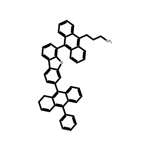 CCCCc1c2ccccc2c(-c2cccc3c2oc2cc(-c4c5c(c(-c6ccccc6)c6ccccc46)C=CCC5)ccc23)c2ccccc12